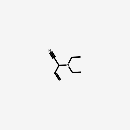 C=CC(C#N)N(CC)CC